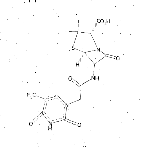 CC1(C)S[C@@H]2C(NC(=O)Cn3cc(C(F)(F)F)c(=O)[nH]c3=O)C(=O)N2[C@H]1C(=O)O